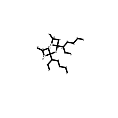 CCCCC(CC)C1(OC2(C(CC)CCCC)CC(C)O2)CC(C)O1